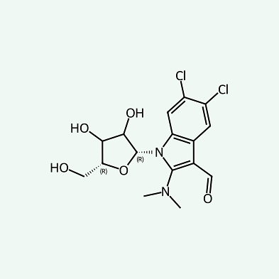 CN(C)c1c(C=O)c2cc(Cl)c(Cl)cc2n1[C@@H]1O[C@H](CO)C(O)C1O